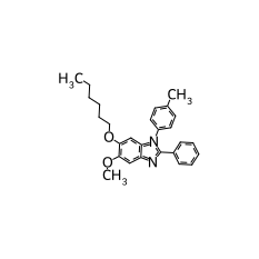 CCCCCCOc1cc2c(cc1OC)nc(-c1ccccc1)n2-c1ccc(C)cc1